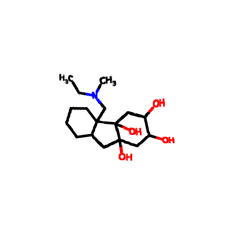 CCN(C)CC12CCCCC1CC1(O)CC(O)C(O)CC12O